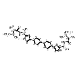 CC(C)[C@@H](NC(=O)[C@@H](C(C)C)N(C)C(=O)O)c1nc(-c2ccc(-c3ccc(-c4c[nH]c([C@H](NC(=O)[C@@H](C(C)C)N(C)C(=O)O)C(C)C)n4)cc3)cc2)c[nH]1